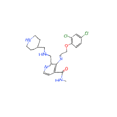 CNC(=O)c1ccnc(CNCC2CCNCC2)c1/N=C/COc1ccc(Cl)cc1Cl